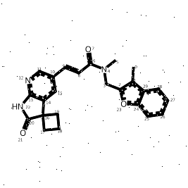 Cc1c(CN(C)C(=O)C=Cc2cnc3c(c2)C2(CCC2)C(=O)N3)oc2ccccc12